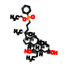 CCOP(=O)(CCC[C@@H](C)[C@H]1CC[C@H]2[C@@H]3[C@H](O)[C@H](CC)[C@@H]4C[C@H](O)CC[C@]4(C)[C@H]3CC[C@]12C)c1ccccc1